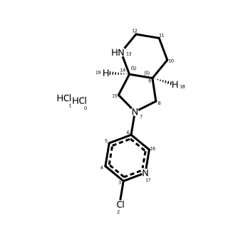 Cl.Cl.Clc1ccc(N2C[C@@H]3CCCN[C@@H]3C2)cn1